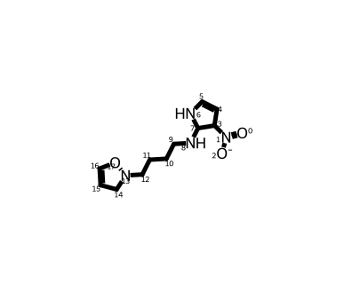 O=[N+]([O-])C1C=CNC1NCCCCN1CC=CO1